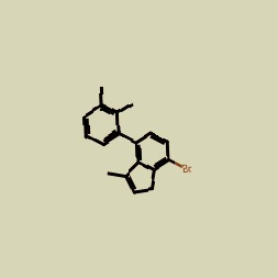 CC1=CCc2c(Br)ccc(-c3cccc(C)c3C)c21